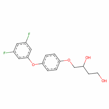 OCCC(O)COc1ccc(Oc2cc(F)cc(F)c2)cc1